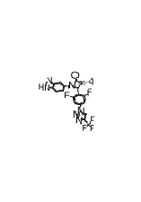 O=C1[C@H](C2CC2)C(c2c(F)cc(-n3cc(C(F)(F)F)nn3)cc2F)N1c1ccc2[nH]cnc2c1